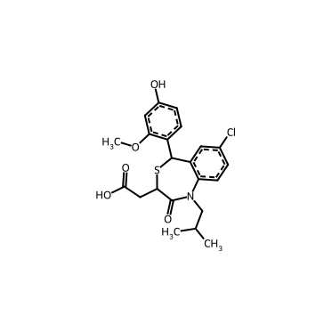 COc1cc(O)ccc1C1SC(CC(=O)O)C(=O)N(CC(C)C)c2ccc(Cl)cc21